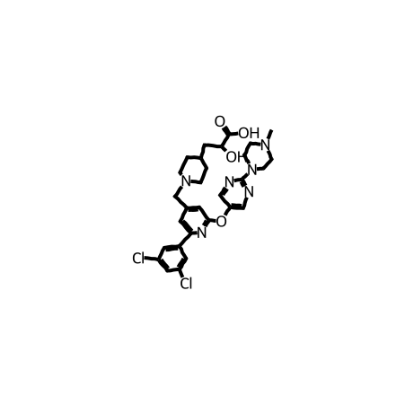 CN1CCN(c2ncc(Oc3cc(CN4CCC(CC(O)C(=O)O)CC4)cc(-c4cc(Cl)cc(Cl)c4)n3)cn2)CC1